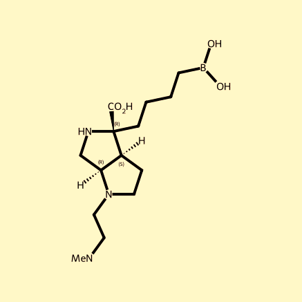 CNCCN1CC[C@H]2[C@@H]1CN[C@@]2(CCCCB(O)O)C(=O)O